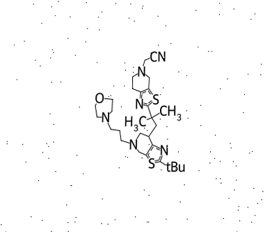 CC(C)(C)c1nc2c(s1)CN(CCCN1CCOCC1)CC2CC(C)(C)c1nc2c(s1)CN(CC#N)CC2